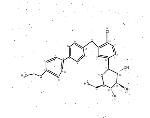 CCOc1ccc(-c2ccc(Cc3cc([C@@H]4O[C@H](CO)[C@@H](O)[C@H](O)[C@H]4O)ccc3Cl)cc2)nn1